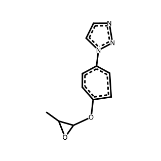 CC1OC1Oc1ccc(-n2ccnn2)cc1